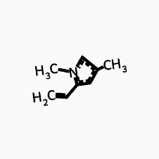 C=Cc1cc(C)cn1C